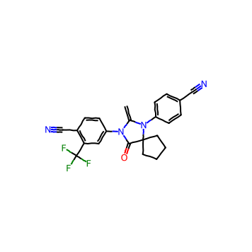 C=C1N(c2ccc(C#N)c(C(F)(F)F)c2)C(=O)C2(CCCC2)N1c1ccc(C#N)cc1